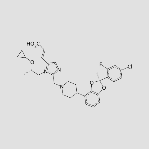 C[C@@H](Cn1c(/C=C/C(=O)O)cnc1CN1CCC(c2cccc3c2O[C@@](C)(c2ccc(Cl)cc2F)O3)CC1)OC1CC1